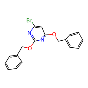 Brc1cc(OCc2ccccc2)nc(OCc2ccccc2)n1